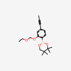 CC#Cc1ccc(B2OCC(C)(C)C(C)(C)O2)c(OCOCC)c1